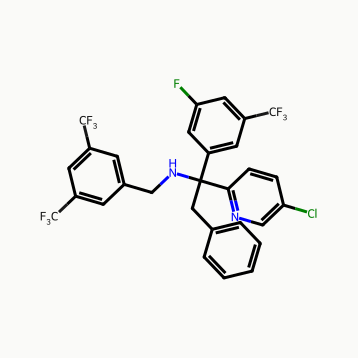 Fc1cc(C(F)(F)F)cc(C(Cc2ccccc2)(NCc2cc(C(F)(F)F)cc(C(F)(F)F)c2)c2ccc(Cl)cn2)c1